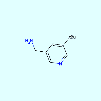 CC(C)(C)c1cncc(CN)c1